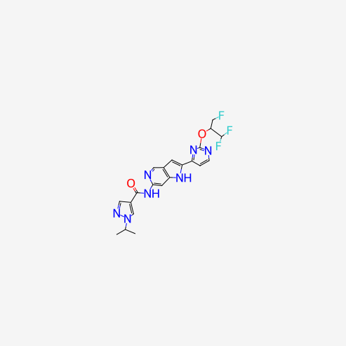 CC(C)n1cc(C(=O)Nc2cc3[nH]c(-c4ccnc(OC(CF)C(F)F)n4)cc3cn2)cn1